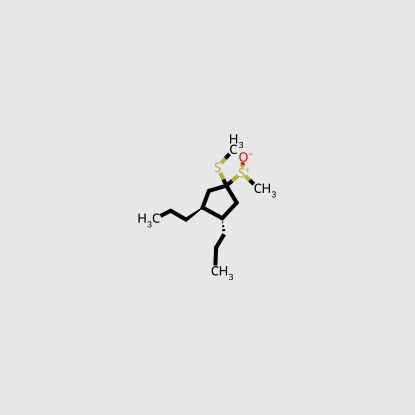 CCC[C@H]1CC(SC)([S+](C)[O-])C[C@@H]1CCC